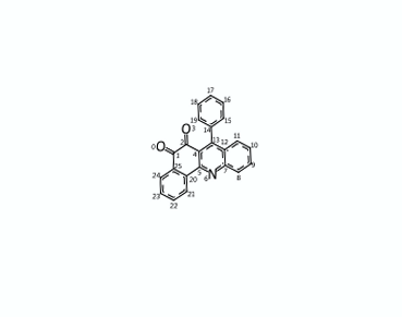 O=C1C(=O)c2c(nc3ccccc3c2-c2ccccc2)-c2ccccc21